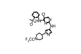 CP(C)(=O)c1ccccc1Nc1nc(Nc2cnn(C3CCN(CC(F)(F)F)CC3)c2)ncc1Cl